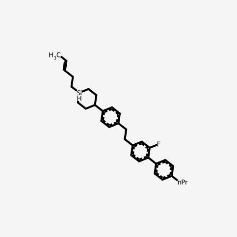 C/C=C/CC[SiH]1CCC(c2ccc(CCc3ccc(-c4ccc(CCC)cc4)c(F)c3)cc2)CC1